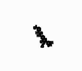 CN/C=C(\C=N)c1nc2ccc(NC(=O)Nc3cccc(C(C)=O)c3)cc2c(=O)n1CCOC